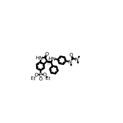 CCOP(=O)(OCC)c1ccc2c(c1)/C(=C(/Nc1ccc(N(C)C(=O)N(C)C)cc1)c1ccccc1)C(=O)N2